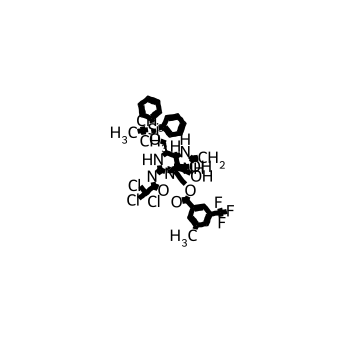 C=C1N[C@H]2[C@H](CO[Si](c3ccccc3)(c3ccccc3)C(C)(C)C)N/C(=N/C(=O)C(Cl)(Cl)Cl)N3CC(OC(=O)c4cc(C)cc(C(F)(F)F)c4)C(O)(O)C23N1